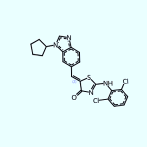 O=C1N=C(Nc2c(Cl)cccc2Cl)S/C1=C\c1ccc2ncn(C3CCCC3)c2c1